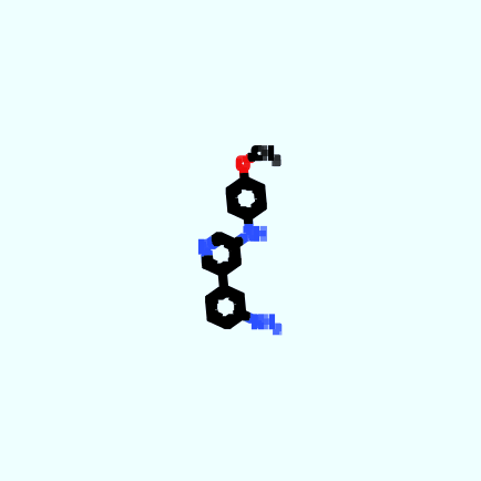 COc1ccc(Nc2cncc(-c3cccc(N)c3)c2)cc1